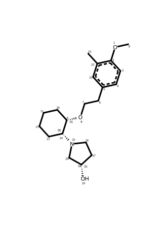 COc1ccc(CCO[C@H]2CCCC[C@H]2N2CC[C@H](O)C2)cc1C